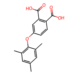 Cc1cc(C)c(Oc2ccc(C(=O)O)c(C(=O)O)c2)c(C)c1